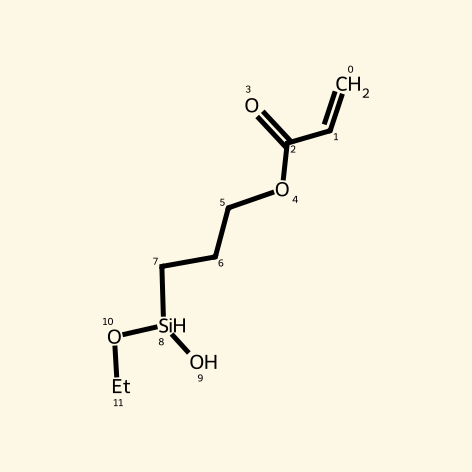 C=CC(=O)OCCC[SiH](O)OCC